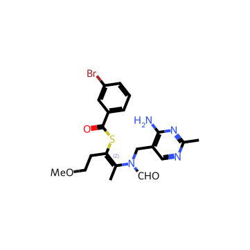 COCC/C(SC(=O)c1cccc(Br)c1)=C(\C)N(C=O)Cc1cnc(C)nc1N